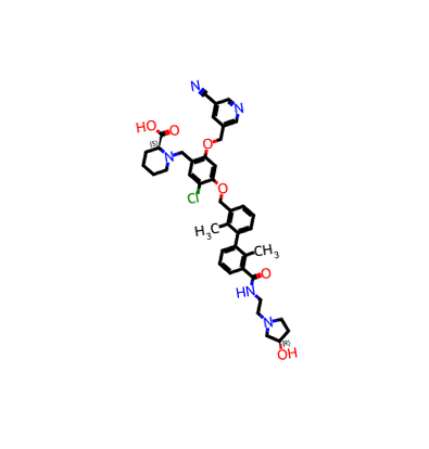 Cc1c(COc2cc(OCc3cncc(C#N)c3)c(CN3CCCC[C@H]3C(=O)O)cc2Cl)cccc1-c1cccc(C(=O)NCCN2CC[C@@H](O)C2)c1C